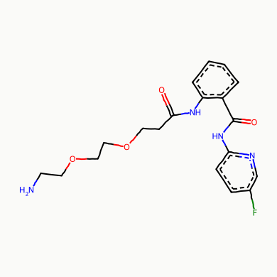 NCCOCCOCCC(=O)Nc1ccccc1C(=O)Nc1ccc(F)cn1